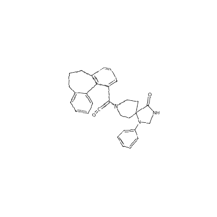 O=C=C(c1cccc2c1-c1ccccc1CCC2)N1CCC2(CC1)C(=O)NCN2c1ccccc1